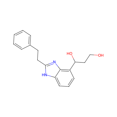 OCCC(O)c1cccc2[nH]c(CCc3ccccc3)nc12